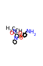 CN(C)C(=O)[C@@H]1C[C@H](S(=O)(=O)c2cccc(CN)c2)CN(C2CCCCC2)C1